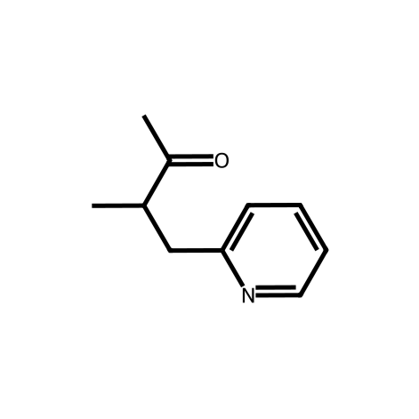 CC(=O)C(C)Cc1ccccn1